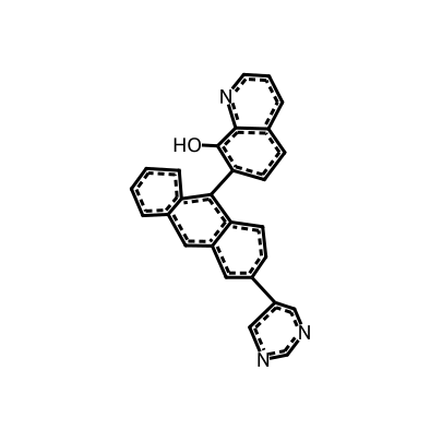 Oc1c(-c2c3ccccc3cc3cc(-c4cncnc4)ccc23)ccc2cccnc12